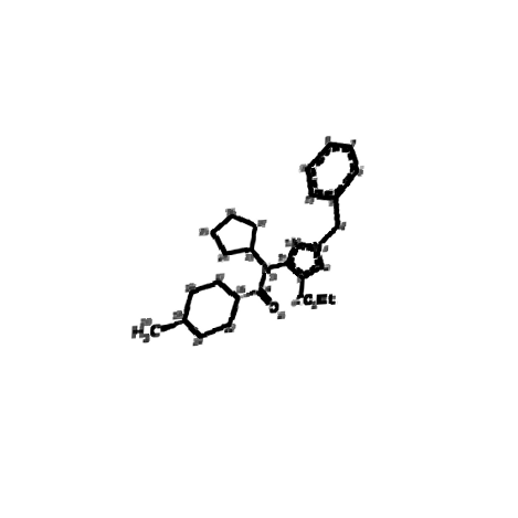 CCOC(=O)c1cn(Cc2ccccc2)nc1N(C(=O)[C@H]1CC[C@H](C)CC1)C1CCCC1